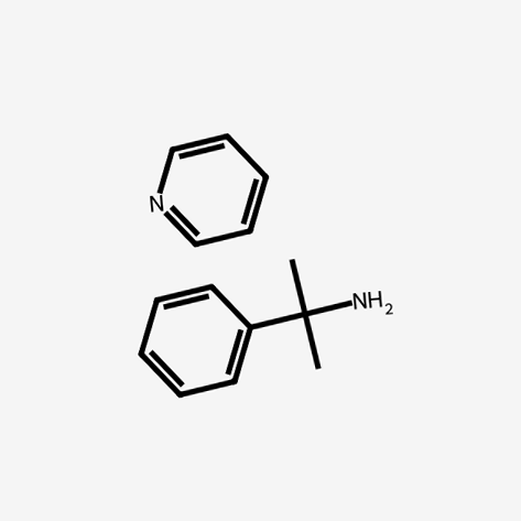 CC(C)(N)c1ccccc1.c1ccncc1